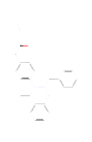 CCCN(c1ccc(CC(=O)OCC)cc1)N(Cc1ccccc1)Cc1ccccc1